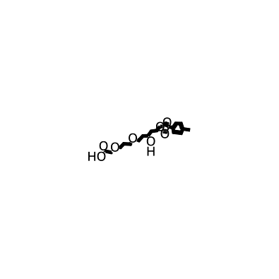 Cc1ccc(S(=O)(=O)OCCC(O)CCOCCCOCC(=O)O)cc1